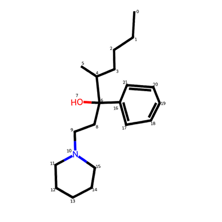 CCCCC(C)C(O)(CCN1CCCCC1)c1ccccc1